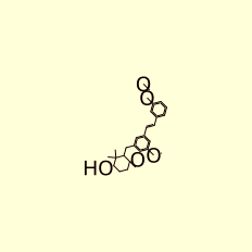 COCOc1cccc(C=Cc2cc3c(c(OC)c2)OC2(C)CCC(O)C(C)(C)C2C3)c1